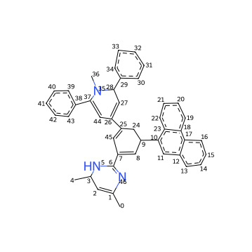 CC1=CC(C)NC(C2=CC(c3cc4ccccc4c4ccccc34)CC(C3=CC(c4ccccc4)N(C)C(c4ccccc4)=C3)=C2)=N1